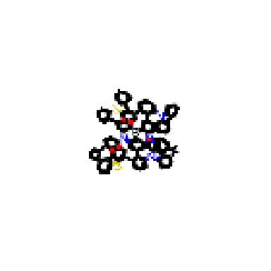 CC(C)(C)c1ccc(N2c3ccc(-c4c(-c5cccc6sc7ccccc7c56)cccc4-n4c5ccccc5c5ccccc54)cc3B3c4ccc(-c5ccccc5)cc4N(c4ccc(-c5ccccc5)cc4)c4cc(-c5c(-c6cccc7c6sc6ccccc67)cccc5-n5c6ccccc6c6ccccc65)cc2c43)cc1